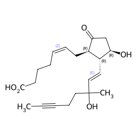 CC#CCCC(C)(O)/C=C/[C@H]1[C@H](O)CC(=O)[C@@H]1C/C=C\CCCC(=O)O